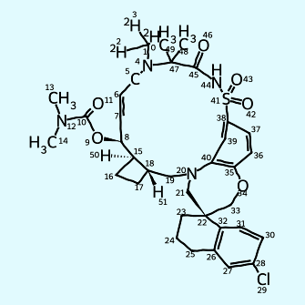 [2H]C([2H])([2H])N1C/C=C/[C@H](OC(=O)N(C)C)[C@@H]2CC[C@H]2CN2C[C@@]3(CCCc4cc(Cl)ccc43)COc3ccc(cc32)S(=O)(=O)NC(=O)C1(C)C